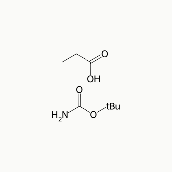 CC(C)(C)OC(N)=O.CCC(=O)O